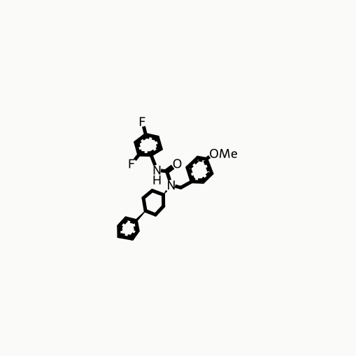 COc1ccc(CN(C(=O)Nc2ccc(F)cc2F)[C@H]2CC[C@H](c3ccccc3)CC2)cc1